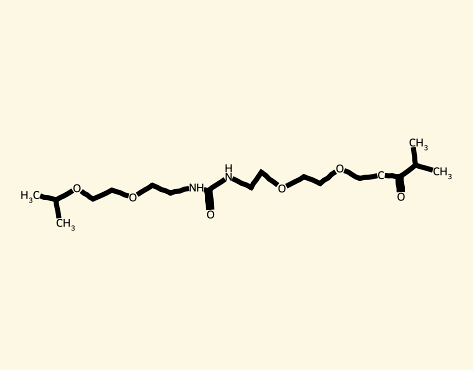 CC(C)OCCOCCNC(=O)NCCOCCOCCC(=O)C(C)C